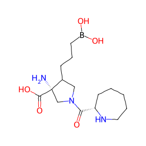 N[C@@]1(C(=O)O)CN(C(=O)[C@@H]2CCCCCN2)CC1CCCB(O)O